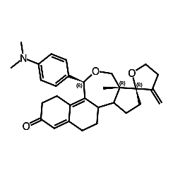 C=C1CCO[C@]12CCC1C3CCC4=CC(=O)CCC4=C3[C@@H](c3ccc(N(C)C)cc3)OC[C@@]12C